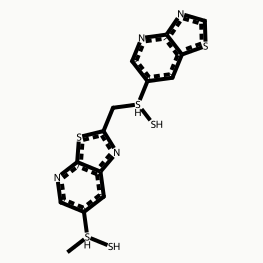 C[SH](S)c1cnc2sc(C[SH](S)c3cnc4ncsc4c3)nc2c1